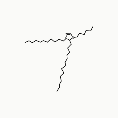 CCCCCCCCCCCCCCC1N(CCCCCC)C=CN1CCCCCCCCCCC